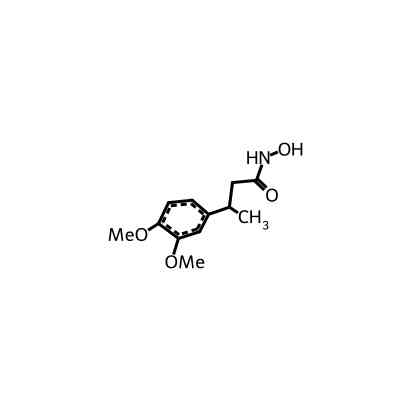 COc1ccc(C(C)CC(=O)NO)cc1OC